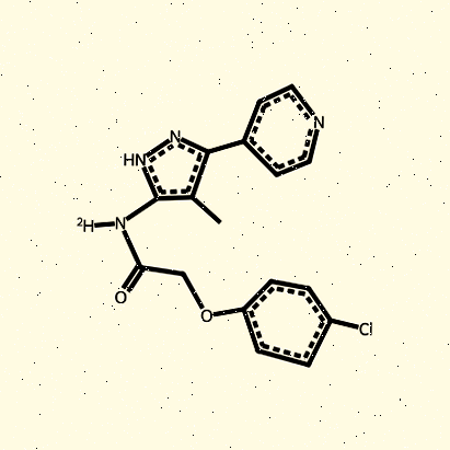 [2H]N(C(=O)COc1ccc(Cl)cc1)c1[nH]nc(-c2ccncc2)c1C